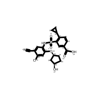 N#Cc1cc(NS(=O)(=O)c2cc(C(=O)O)ccc2C2CC2)c(O[C@H]2CC[C@@H](O)C2)cc1Cl